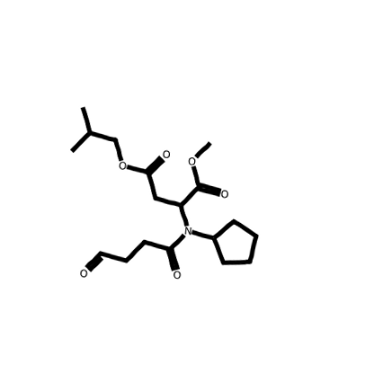 COC(=O)C(CC(=O)OCC(C)C)N(C(=O)CCC=O)C1CCCC1